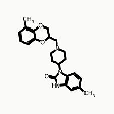 Cc1ccc2c(c1)[nH]c(=O)n2C1CCN(CC2COc3c(C)cccc3O2)CC1